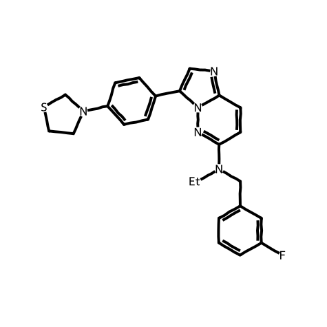 CCN(Cc1cccc(F)c1)c1ccc2ncc(-c3ccc(N4CCSC4)cc3)n2n1